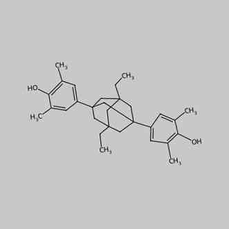 CCC12CC3(CC)CC(c4cc(C)c(O)c(C)c4)(C1)CC(c1cc(C)c(O)c(C)c1)(C2)C3